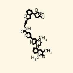 Cc1cc2c(N3CCN(C)c4cc(-c5ccc(C(=O)NCC#Cc6cc7c(C8CCC(=O)NC8=O)cccc7o6)nc5)ncc43)cccc2n(C)c1=O